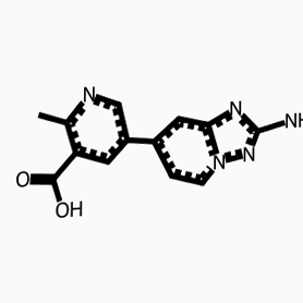 Cc1ncc(-c2ccn3nc(N)nc3c2)cc1C(=O)O